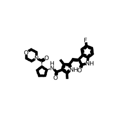 Cc1[nH]c(/C=C2\C(=O)Nc3ccc(F)cc32)c(C)c1C(=O)N[C@@H]1CCC[C@@H]1C(=O)N1CCOCC1